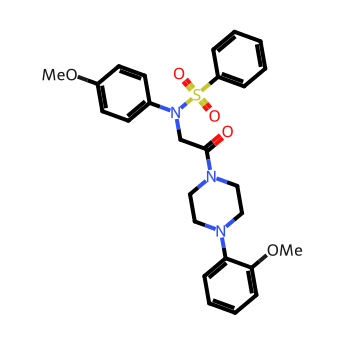 COc1ccc(N(CC(=O)N2CCN(c3ccccc3OC)CC2)S(=O)(=O)c2ccccc2)cc1